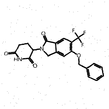 O=C1CCC(N2Cc3cc(OCc4ccccc4)c(C(F)(F)F)cc3C2=O)C(=O)N1